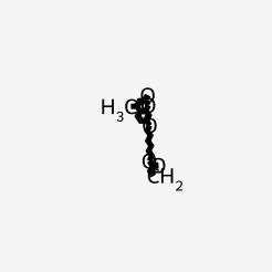 C=CC(=O)OCCCCCCOc1ccc2c(C)cc(=O)oc2c1